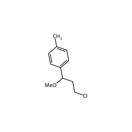 COC(CCCl)c1ccc(C)cc1